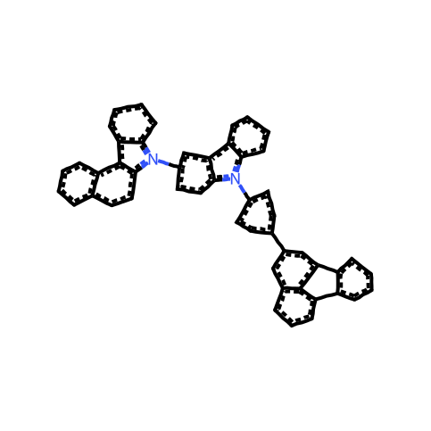 c1ccc2c(c1)-c1cccc3cc(-c4ccc(-n5c6ccccc6c6cc(-n7c8ccccc8c8c9ccccc9ccc87)ccc65)cc4)cc-2c13